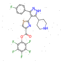 O=C(Oc1c(F)c(F)c(F)c(F)c1F)c1csc(-c2c(-c3ccc(F)cc3)n[nH]c2C2CCNCC2)n1